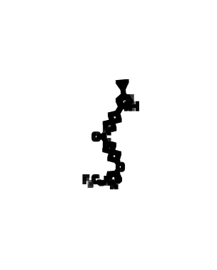 O=C(N1CC2(CC(Oc3cnn(CC(F)(F)F)c3)C2)C1)N1CC2(CC(c3cc(C4CC4)n[nH]3)C2)C1